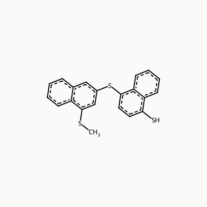 CSc1cc(Sc2ccc(S)c3ccccc23)cc2ccccc12